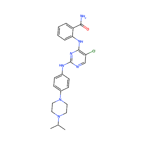 CC(C)N1CCN(c2ccc(Nc3ncc(Cl)c(Nc4ccccc4C(N)=O)n3)cc2)CC1